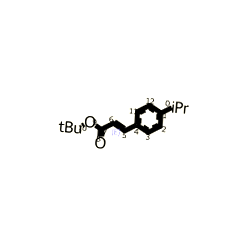 CC(C)c1ccc(/C=C/C(=O)OC(C)(C)C)cc1